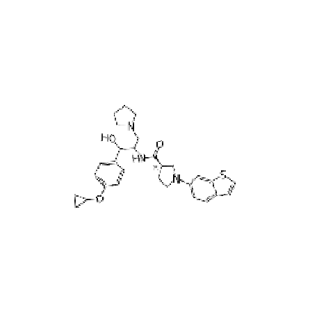 O=C(NC(CN1CCCC1)C(O)c1ccc(OC2CC2)cc1)[C@@H]1CCN(c2ccc3ccsc3c2)C1